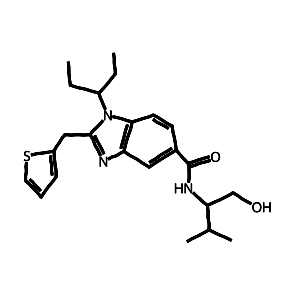 CCC(CC)n1c(Cc2cccs2)nc2cc(C(=O)NC(CO)C(C)C)ccc21